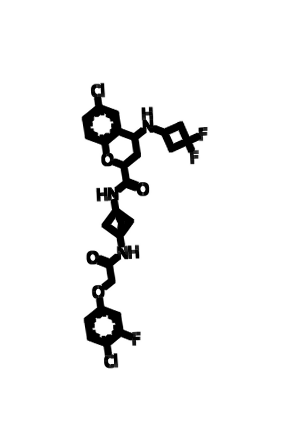 O=C(COc1ccc(Cl)c(F)c1)NC12CC(NC(=O)C3CC(NC4CC(F)(F)C4)c4cc(Cl)ccc4O3)(C1)C2